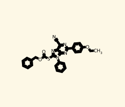 CCOc1ccc(-c2nc(C#N)c3nc(SC(=O)OCc4ccccc4)n(-c4ccccc4)c3n2)cc1